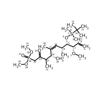 C=C[C@H](OC)[C@@H](O[Si](C)(C)C(C)(C)C)[C@H](C)/C=C(/C)[C@H](C)C(C)C(=O)CP(=O)(OC)OC